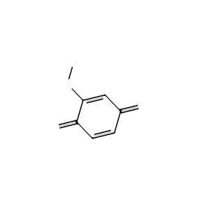 O=C1C=CC(=O)C(OBr)=C1